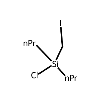 CCC[Si](Cl)(CI)CCC